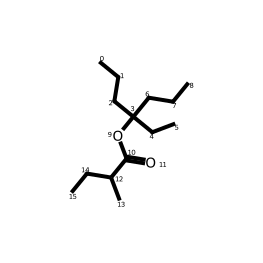 CCCC(CC)(CCC)OC(=O)C(C)CC